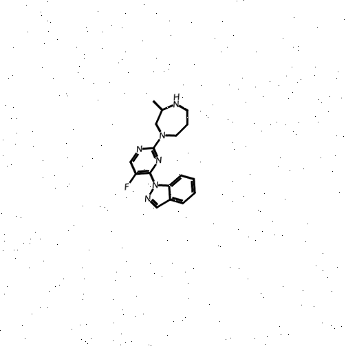 CC1CN(c2ncc(F)c(-n3ncc4ccccc43)n2)CCCN1